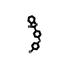 Clc1ccc(Sc2ccc(-c3nc4ccccc4[nH]3)cc2)cc1